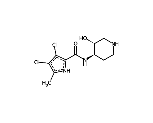 Cc1[nH]c(C(=O)N[C@@H]2CCNC[C@H]2O)c(Cl)c1Cl